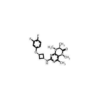 Cc1nc(N[C@H]2C[C@H](Oc3ccc(F)c(F)c3)C2)nc2c1N(C)C(=O)[C@H](C)N2C